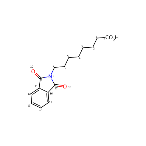 O=C(O)CCCCCCCN1C(=O)c2ccccc2C1=O